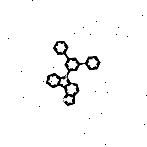 c1ccc(-c2cc(-c3ccccc3)cc(-n3c4ccccc4c4c5sccc5ccc43)c2)cc1